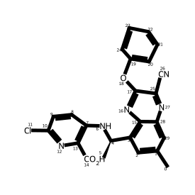 Cc1cc([C@@H](C)Nc2ccc(Cl)nc2C(=O)O)c2nc(Oc3ccccc3)c(C#N)nc2c1